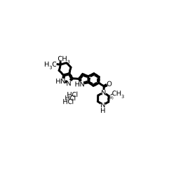 C[C@@H]1CNCCN1C(=O)c1ccc2cc(-c3n[nH]c4c3CCC(C)(C)C4)[nH]c2c1.Cl.Cl.Cl